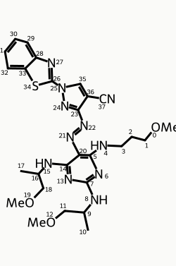 COCCCNc1nc(NC(C)COC)nc(NC(C)COC)c1N=Nc1nn(-c2nc3ccccc3s2)cc1C#N